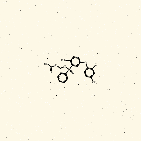 CC(C)(C)C(=O)OCOP(=O)(c1ccccc1)c1cc(Oc2ccc(C(F)(F)F)cc2Cl)ccc1[N+](=O)[O-]